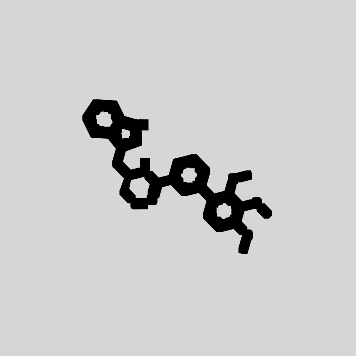 COc1ccc(-c2cccc(C(=O)N[C@@H](CO)Cc3c[nH]c4ccccc34)c2)c(OC)c1OC